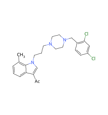 CC(=O)c1cn(CCCN2CCN(Cc3ccc(Cl)cc3Cl)CC2)c2c(C)cccc12